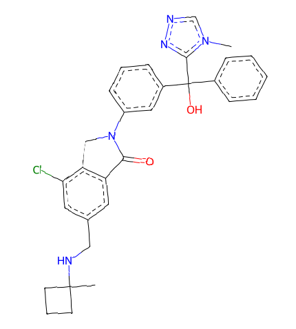 Cn1cnnc1C(O)(c1ccccc1)c1cccc(N2Cc3c(Cl)cc(CNC4(C)CCC4)cc3C2=O)c1